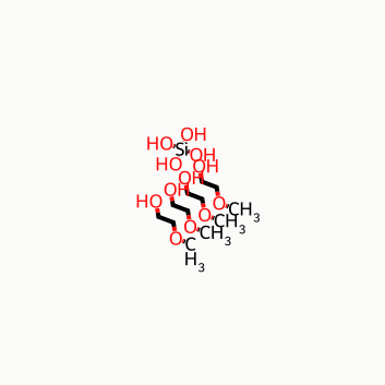 COCCO.COCCO.COCCO.COCCO.O[Si](O)(O)O